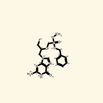 COP(=O)(COC(CF)Cn1cnc2c(=O)[nH]c(N)nc21)OCc1ccccc1